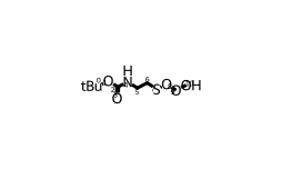 CC(C)(C)OC(=O)NCCSOOO